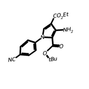 CCOC(=O)c1cn(-c2ccc(C#N)cc2)c(C(=O)OC(C)(C)C)c1N